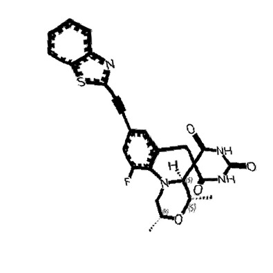 C[C@@H]1CN2c3c(F)cc(C#Cc4nc5ccccc5s4)cc3CC3(C(=O)NC(=O)NC3=O)[C@H]2[C@H](C)O1